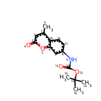 Cc1cc(=O)oc2cc(NC(=O)OC(C)(C)C)ccc12